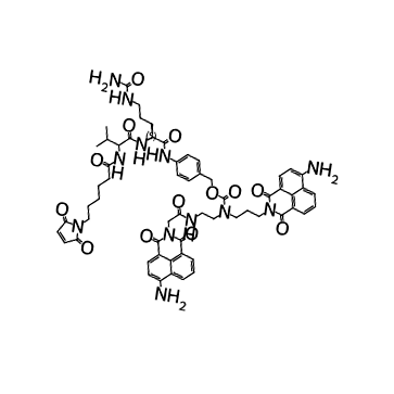 CC(C)C(NC(=O)CCCCCN1C(=O)C=CC1=O)C(=O)N[C@@H](CCCNC(N)=O)C(=O)Nc1ccc(COC(=O)N(CCCN2C(=O)c3cccc4c(N)ccc(c34)C2=O)CCNC(=O)CN2C(=O)c3cccc4c(N)ccc(c34)C2=O)cc1